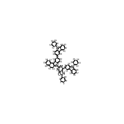 c1ccc(-c2nc3c(-c4ccc5c(c4)c4ccccc4n5-c4ccccc4)nc(-n4c5ccc(-c6ccc7c(c6)c6ccccc6n7-c6ccccc6)cc5c5c6ccccc6ccc54)nc3o2)cc1